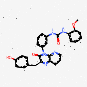 COc1ccccc1NC(=O)Nc1cccc(-n2c(=O)c(Cc3ccc(O)cc3)nc3cccnc32)c1